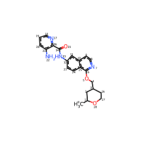 CC1CC(COc2nccc3cc(NC(=O)c4ncccc4N)ccc23)CCO1